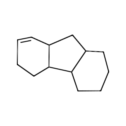 C1=CC2CC3CCCCC3C2CC1